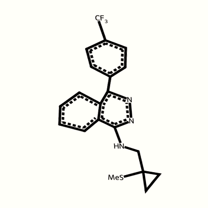 CSC1(CNc2nnc(-c3ccc(C(F)(F)F)cc3)c3ccccc23)CC1